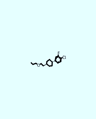 CCCOCC[C@H]1CC[C@H](c2ccc(Cl)c(F)c2)CC1